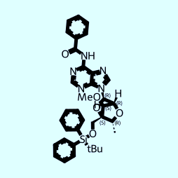 CO[C@H]1[C@H]2O[C@H](C)[C@]1(CO[Si](c1ccccc1)(c1ccccc1)C(C)(C)C)O[C@H]2n1cnc2c(NC(=O)c3ccccc3)ncnc21